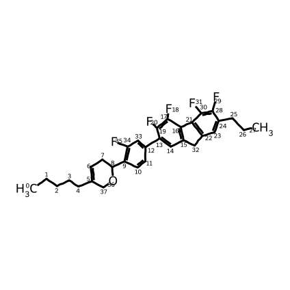 CCCCCC1=CCC(c2ccc(-c3cc4c(c(F)c3F)-c3c(cc(CCC)c(F)c3F)C4)cc2F)OC1